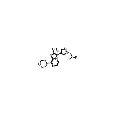 Cc1nc2c(N3CCOCC3)nccn2c1-c1cnn(CC(F)F)c1